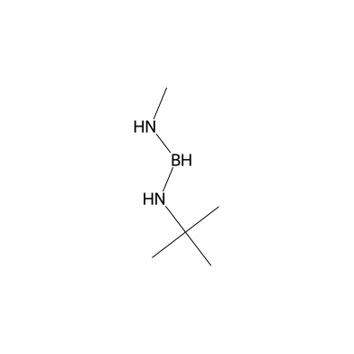 CNBNC(C)(C)C